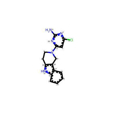 Nc1nc(Cl)cc(N2CCc3[nH]c4ccccc4c3C2)n1